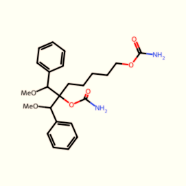 COC(c1ccccc1)C(CCCCCOC(N)=O)(OC(N)=O)C(OC)c1ccccc1